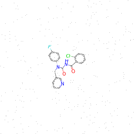 O=C(NC(=O)N(Cc1cccnc1)c1ccc(F)cc1)c1ccccc1Cl